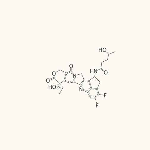 CC[C@@]1(O)C(=O)OCc2c1cc1n(c2=O)Cc2c-1nc1cc(F)c(F)c3c1c2C(NC(=O)CCC(C)O)C3